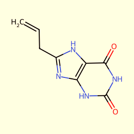 C=CCc1nc2[nH]c(=O)[nH]c(=O)c2[nH]1